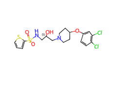 O=S(=O)(NC[C@@H](O)CN1CCC(Oc2ccc(Cl)c(Cl)c2)CC1)c1cccs1